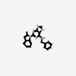 Cc1cc2ccccc2n1-c1nc(NCc2ccccc2)c2ncsc2n1